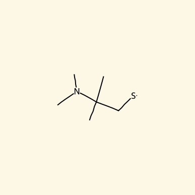 CN(C)C(C)(C)C[S]